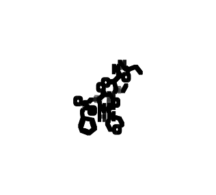 CCc1nnc(C(=O)[C@H](CC)NC(=O)[C@H](CS(=O)(=O)Cc2ccccc2)NC(=O)N2CCOCC2)o1